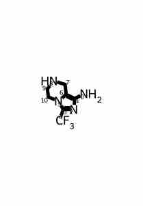 Nc1nc(C(F)(F)F)n2c1CNCC2